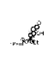 CCCCCC(=O)OCC(=O)[C@@]1(OC(=O)CC)CC[C@H]2C3=C(C(O)C[C@@]21C)[C@@]1(C)C=CC(=O)C=C1CC3